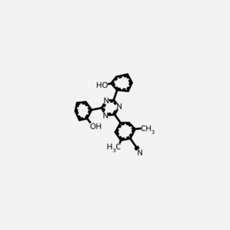 Cc1cc(-c2nc(-c3ccccc3O)nc(-c3ccccc3O)n2)cc(C)c1C#N